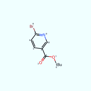 CC(C)(C)OC(=O)c1ccc(Br)nc1